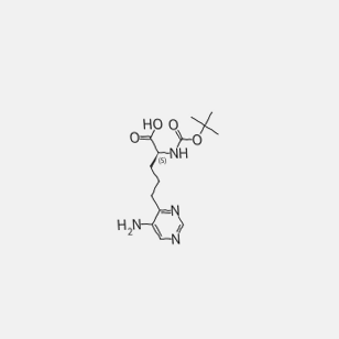 CC(C)(C)OC(=O)N[C@@H](CCCc1ncncc1N)C(=O)O